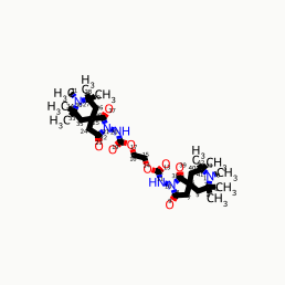 CN1C(C)(C)CC2(CC(=O)N(NC(=O)OCCOC(=O)NN3C(=O)CC4(CC(C)(C)N(C)C(C)(C)C4)C3=O)C2=O)CC1(C)C